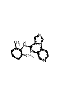 Cc1cccc(C)c1Nc1nc2cnccc2n2cncc12